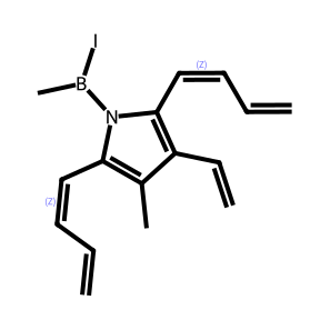 C=C/C=C\c1c(C)c(C=C)c(/C=C\C=C)n1B(C)I